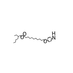 CCCCC(CC)COC(=O)CCCCCCCCCCOc1ccc(NC)cc1